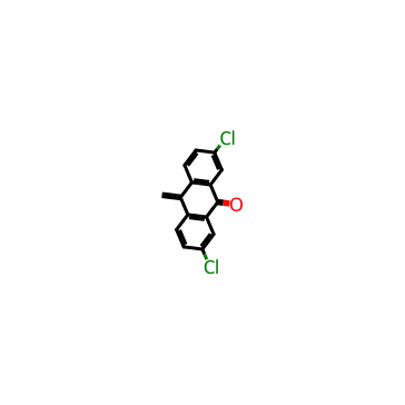 C=C1c2ccc(Cl)cc2C(=O)c2cc(Cl)ccc21